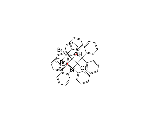 OC(C(Br)(Br)Br)(C(Br)(c1ccccc1)c1ccccc1)C(O)(C(c1ccccc1)(c1ccccc1)c1ccccc1)C(c1ccccc1)(c1ccccc1)c1ccccc1